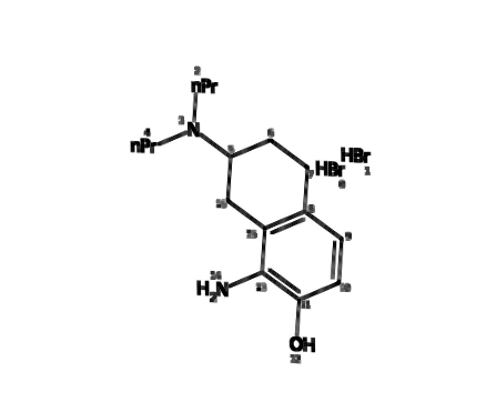 Br.Br.CCCN(CCC)C1CCc2ccc(O)c(N)c2C1